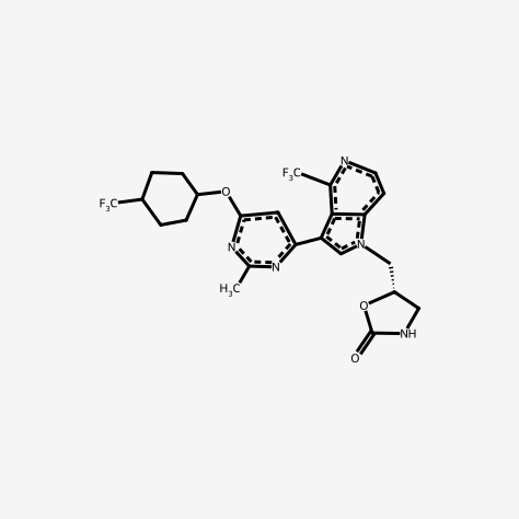 Cc1nc(OC2CCC(C(F)(F)F)CC2)cc(-c2cn(C[C@@H]3CNC(=O)O3)c3ccnc(C(F)(F)F)c23)n1